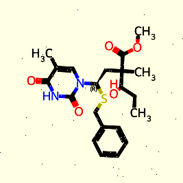 CCC(O)C(C)(C[C@@H](SCc1ccccc1)n1cc(C)c(=O)[nH]c1=O)C(=O)OC